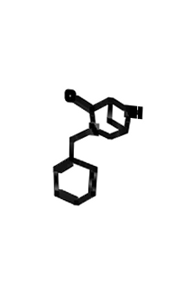 O=C1C2CC(CN1Cc1ccccc1)N2